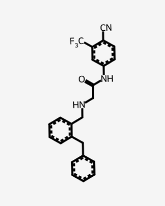 N#Cc1ccc(NC(=O)CNCc2ccccc2Cc2ccccc2)cc1C(F)(F)F